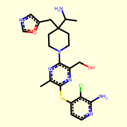 Cc1nc(N2CCC(Cc3cnco3)(C(C)N)CC2)c(CO)nc1Sc1ccnc(N)c1Cl